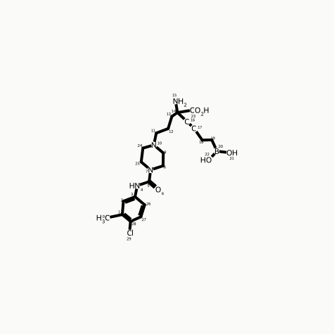 Cc1cc(NC(=O)N2CCN(CCCC(N)(CCCCB(O)O)C(=O)O)CC2)ccc1Cl